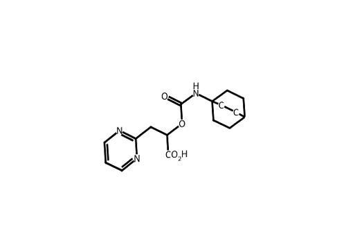 O=C(NC12CCC(CC1)CC2)OC(Cc1ncccn1)C(=O)O